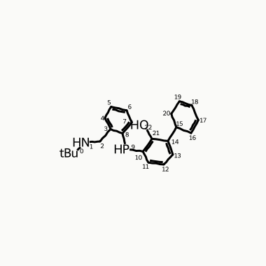 CC(C)(C)NCc1ccccc1Pc1cccc(C2C=CC=CC2)c1O